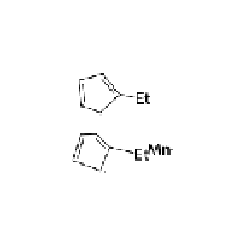 CCC1=CC=C[CH]1.CCC1=CC=C[CH]1.[Mn]